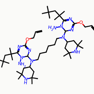 C=CCOC1=NC(N(CCCCCCN(C2CC(C)(C)NC(C)(C)C2)C2N=C(OCC=C)N=C(C(C)(C)CC(C)(C)C)N2N)C2CC(C)(C)NC(C)(C)C2)N(N)C(C(C)(C)CC(C)(C)C)=N1